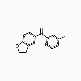 Cc1ccnc(Nc2ccc3c(c2)CCO3)c1